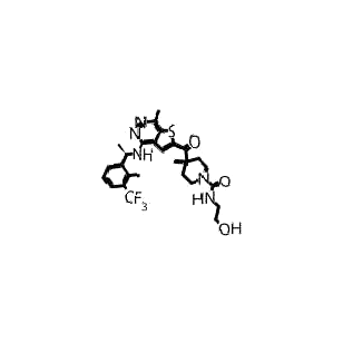 Cc1c([C@@H](C)Nc2nnc(C)c3sc(C(=O)C4(C)CCN(C(=O)NCCO)CC4)cc23)cccc1C(F)(F)F